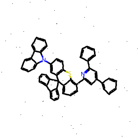 c1ccc(-c2cc(-c3ccccc3)nc(-c3cccc4c3Sc3ccc(-n5c6ccccc6c6ccccc65)cc3C43c4ccccc4-c4ccccc43)c2)cc1